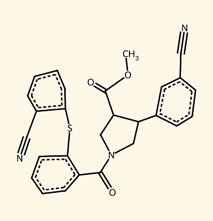 COC(=O)C1CN(C(=O)c2ccccc2Sc2ccccc2C#N)CC1c1cccc(C#N)c1